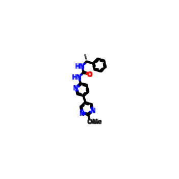 COc1ncc(-c2ccc(NC(=O)N[C@H](C)c3ccccc3)nc2)cn1